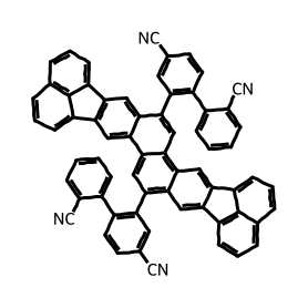 N#Cc1ccc(-c2ccccc2C#N)c(-c2cc3c4cc5c(cc4c(-c4cc(C#N)ccc4-c4ccccc4C#N)cc3c3cc4c(cc23)-c2cccc3cccc-4c23)-c2cccc3cccc-5c23)c1